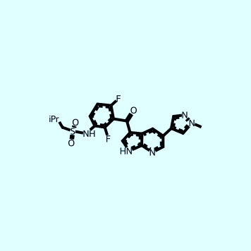 CC(C)CS(=O)(=O)Nc1ccc(F)c(C(=O)c2c[nH]c3ncc(-c4cnn(C)c4)cc23)c1F